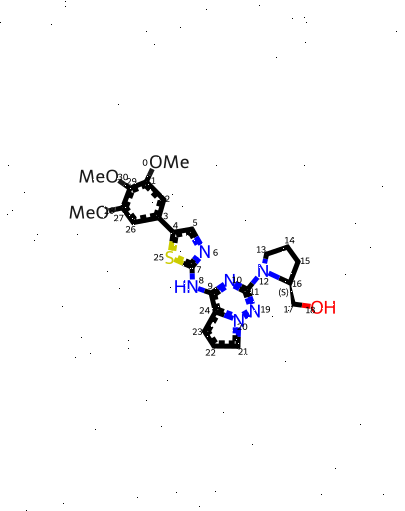 COc1cc(-c2cnc(Nc3nc(N4CCC[C@H]4CO)nn4cccc34)s2)cc(OC)c1OC